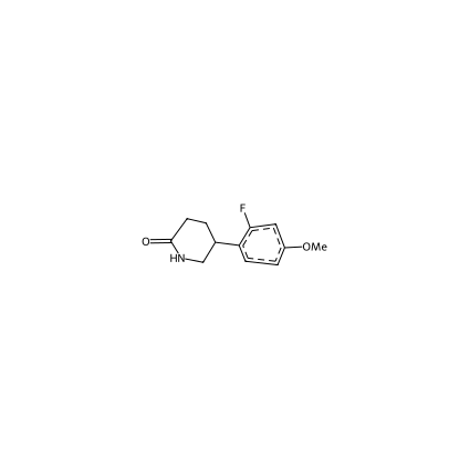 COc1ccc(C2CCC(=O)NC2)c(F)c1